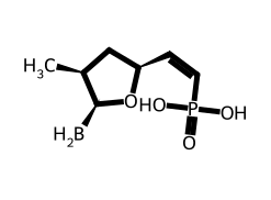 B[C@@H]1O[C@H](/C=C\P(=O)(O)O)C[C@@H]1C